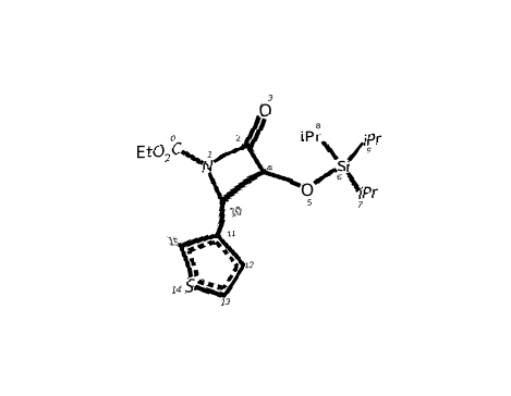 CCOC(=O)N1C(=O)C(O[Si](C(C)C)(C(C)C)C(C)C)C1c1ccsc1